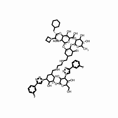 CCC1CC(CNCCNCC2CC(n3cc(-c4cccc(F)c4)nn3)C(O)[C@H](O[C@@H]3OC(CO)[C@H](O)C(n4cc(-c5cccc(F)c5)nn4)C3O)C2)C[C@@H](O[C@@H]2OC(CO)[C@H](O)C(O[C@@H](CC3CCCCC3)C(=O)N3CCC3)C2NC(C)=O)C1O[C@@H]1OC(C)[C@@H](O)C(O)C1O